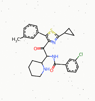 Cc1cccc(-c2sc(C3CC3)nc2C(=O)C(NC(=O)c2cccc(Cl)c2)C2CCCCN2)c1